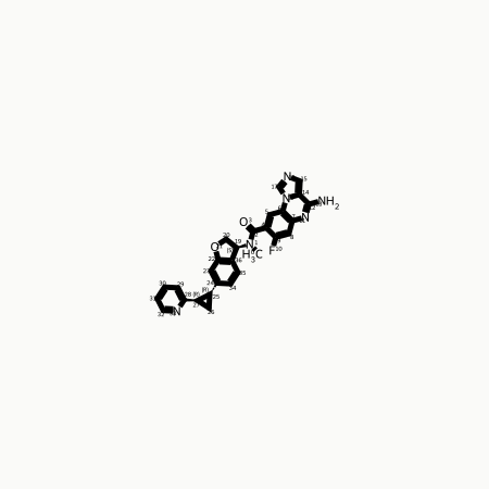 CN(C(=O)c1cc2c(cc1F)nc(N)c1cncn12)[C@@H]1COc2cc([C@@H]3C[C@H]3c3ccccn3)ccc21